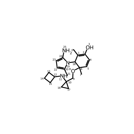 CC1=C(O)C=CC(C)(OCC2(NC3CCC3)CC2)C1n1c(C)ccc1N